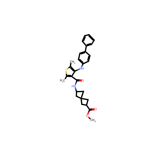 COC(=O)C1CC2(CC(NC(=O)c3c(C)sc(C)c3Nc3ccc(-c4ccccc4)cc3)C2)C1